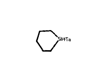 [Ta][SiH]1CCCCC1